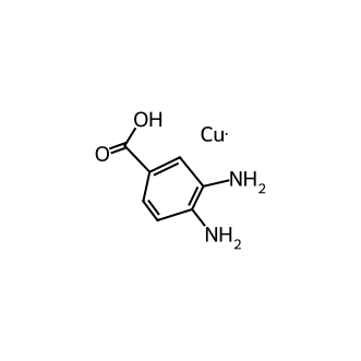 Nc1ccc(C(=O)O)cc1N.[Cu]